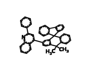 CC1(C)c2ccccc2C2(c3ccccc3-c3ccccc32)c2cc(-c3cc(-c4ccccc4)nc4ccccc34)ccc21